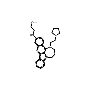 COCCNc1ccc2c3c4c(nc2c1)c1ccccc1n4CCCN3CCN1CCCC1